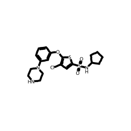 O=S(=O)(NC1CCCC1)c1cc(Cl)c(Oc2cccc(N3CCNCC3)c2)s1